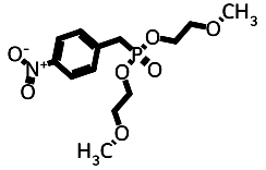 COCCOP(=O)(Cc1ccc([N+](=O)[O-])cc1)OCCOC